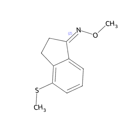 CO/N=C1/CCc2c(SC)cccc21